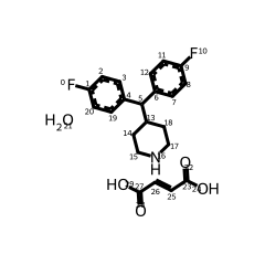 Fc1ccc(C(c2ccc(F)cc2)C2CCNCC2)cc1.O.O=C(O)/C=C/C(=O)O